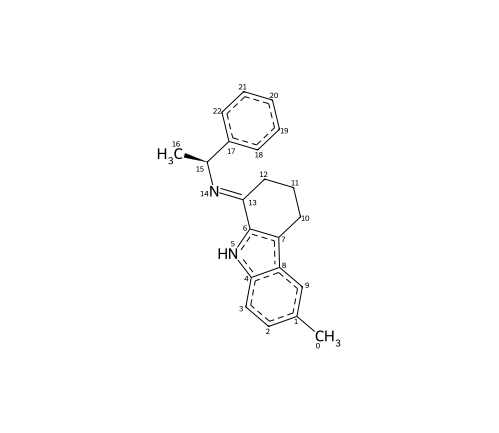 Cc1ccc2[nH]c3c(c2c1)CCCC3=N[C@@H](C)c1ccccc1